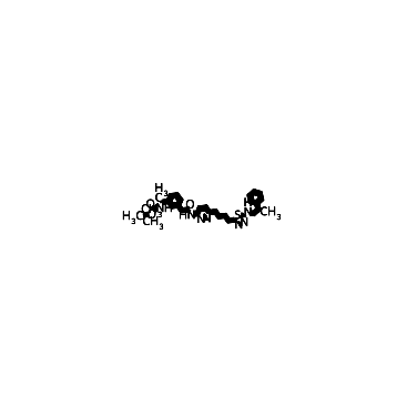 CC(CNc1nnc(CCCCc2ccc(NC(=O)Cc3cccc(C(C)NC(=O)OC(C)(C)C)c3)nn2)s1)c1ccccc1